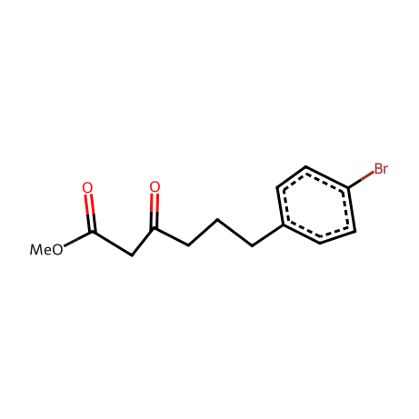 COC(=O)CC(=O)CCCc1ccc(Br)cc1